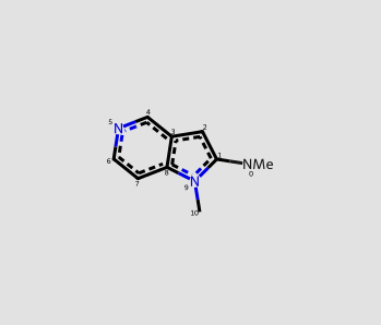 CNc1cc2cnccc2n1C